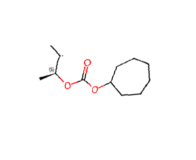 C[CH][C@H](C)OC(=O)OC1CCCCCC1